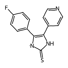 Fc1ccc(C2=C(c3ccncc3)NC(=S)[N]2)cc1